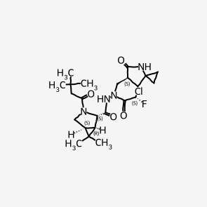 CC(C)(C)CC(=O)N1C[C@H]2[C@@H]([C@H]1C(=O)NN(C[C@@H]1CC3(CC3)NC1=O)C(=O)[C@@H](F)Cl)C2(C)C